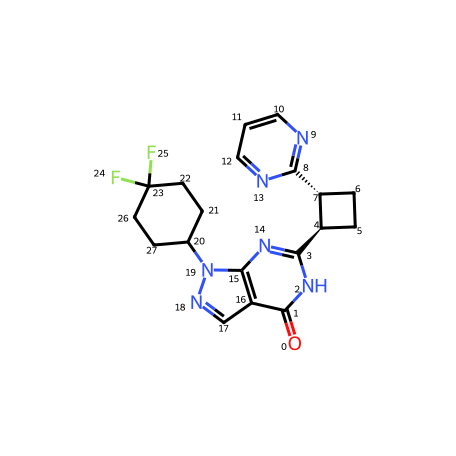 O=c1[nH]c([C@@H]2CC[C@H]2c2ncccn2)nc2c1cnn2C1CCC(F)(F)CC1